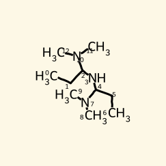 CCC(NC(CC)N(C)C)N(C)C